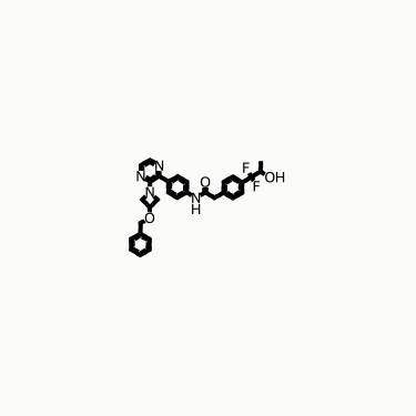 CC(O)C(F)(F)c1ccc(CC(=O)Nc2ccc(-c3nccnc3N3CC(OCc4ccccc4)C3)cc2)cc1